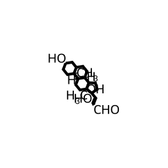 C[C@]12CC[C@H]3[C@@H](CCC4CC(O)CC[C@@]43C)[C@]1(O)CC[C@]2(O)/C=C/C=O